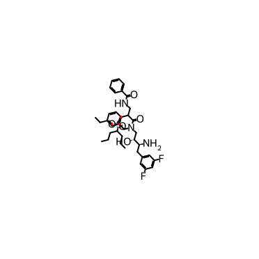 CCCC(CCC)S(=O)(=O)CC(CNC(=O)c1ccccc1)C(=O)N(Cc1cccc(CC)c1)C[C@@H](O)[C@@H](N)Cc1cc(F)cc(F)c1